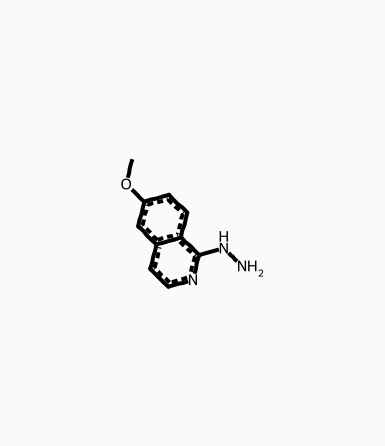 COc1ccc2c(NN)nccc2c1